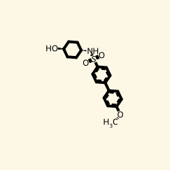 COc1ccc(-c2ccc(S(=O)(=O)N[C@H]3CC[C@H](O)CC3)cc2)cc1